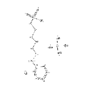 CCCC[N+](CCCC)(CCCC)CCCC.O=S(=O)([O-])CCCCCCNc1ccccc1Cl